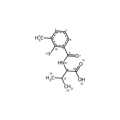 Cc1cccc(C(=O)NC(C(=O)O)C(C)C)c1F